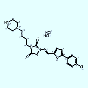 Cl.Cl.O=C1CN(N=Cc2ccc(-c3ccc(Cl)cc3)o2)C(=O)N1CCCCN1CCNCC1